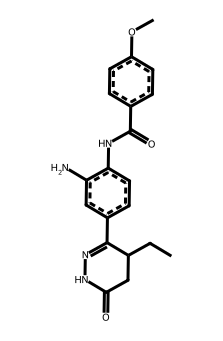 CCC1CC(=O)NN=C1c1ccc(NC(=O)c2ccc(OC)cc2)c(N)c1